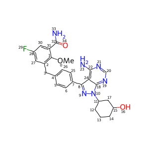 COc1c(Cc2ccc(-c3nn(C4CCCC(O)C4)c4ncnc(N)c34)cc2)cc(F)cc1C(N)=O